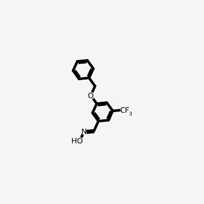 ON=Cc1cc(OCc2ccccc2)cc(C(F)(F)F)c1